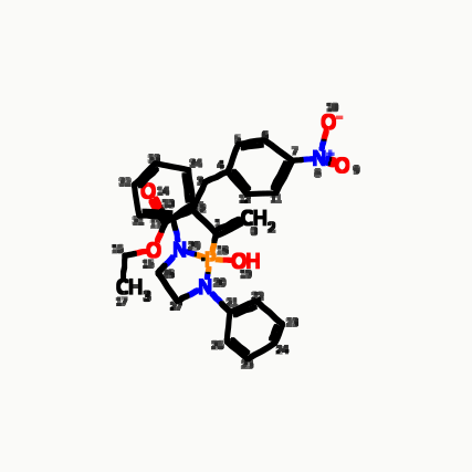 C=C(C(Cc1ccc([N+](=O)[O-])cc1)C(=O)OCC)[P]1(O)N(c2ccccc2)CCN1c1ccccc1